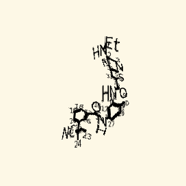 CCNc1cnc2sc(C(=O)Nc3cc(NC(=O)c4cccc(C(C)(C)C#N)c4)ccc3C)cc2n1